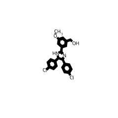 COc1cc(CO)cc(C2=NC(c3ccc(Cl)cc3)C(c3ccc(Cl)cc3)N2)c1